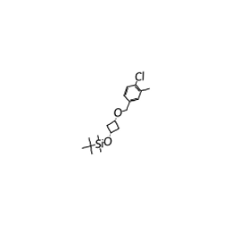 Cc1cc(CO[C@H]2C[C@@H](O[Si](C)(C)C(C)(C)C)C2)ccc1Cl